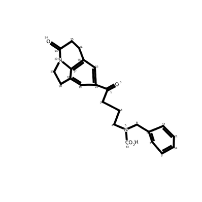 O=C(CCCN(Cc1ccccc1)C(=O)O)c1cc2c3c(c1)CCN3C(=O)CC2